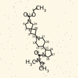 CCOC(=O)N1CCC2(CC(N3CCC(C4CCCN4C(=O)N(C)OC)CC3)C2)C1